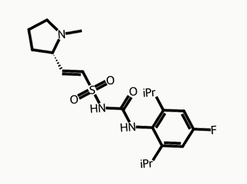 CC(C)c1cc(F)cc(C(C)C)c1NC(=O)NS(=O)(=O)/C=C/[C@@H]1CCCN1C